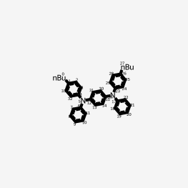 CCCCc1ccc(N(c2ccccc2)c2ccc(N(c3ccccc3)c3ccc(CCCC)cc3)cc2)cc1